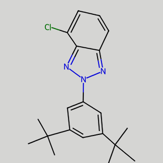 CC(C)(C)c1cc(-n2nc3cccc(Cl)c3n2)cc(C(C)(C)C)c1